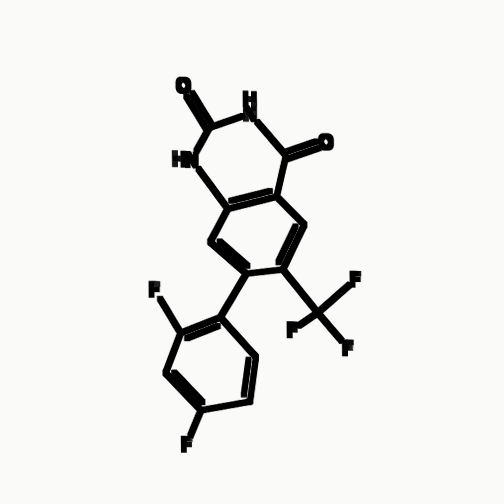 O=c1[nH]c(=O)c2cc(C(F)(F)F)c(-c3ccc(F)cc3F)cc2[nH]1